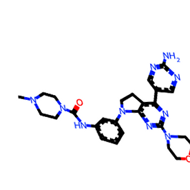 CN1CCN(C(=O)Nc2cccc(N3CCc4c(-c5cnc(N)nc5)nc(N5CCOCC5)nc43)c2)CC1